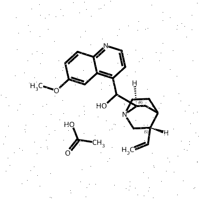 C=C[C@@H]1CN2CCC1C[C@@H]2C(O)c1ccnc2ccc(OC)cc12.CC(=O)O